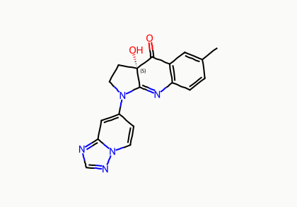 Cc1ccc2c(c1)C(=O)[C@]1(O)CCN(c3ccn4ncnc4c3)C1=N2